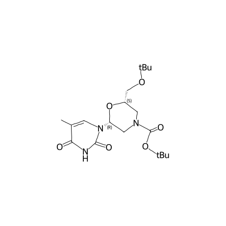 Cc1cn([C@H]2CN(C(=O)OC(C)(C)C)C[C@@H](COC(C)(C)C)O2)c(=O)[nH]c1=O